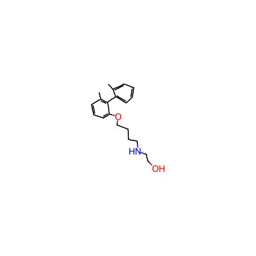 Cc1ccccc1-c1c(C)cccc1OCCCCNCCO